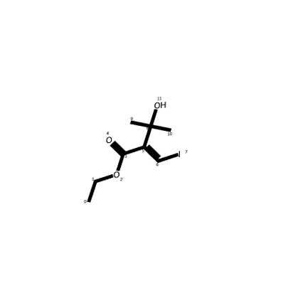 CCOC(=O)C(=CI)C(C)(C)O